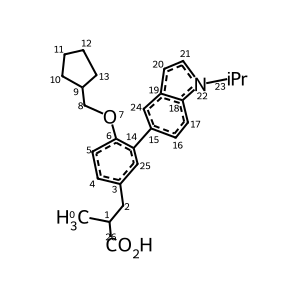 CC(Cc1ccc(OCC2CCCC2)c(-c2ccc3c(ccn3C(C)C)c2)c1)C(=O)O